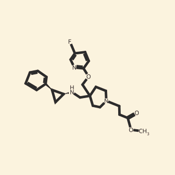 COC(=O)CCN1CCC(CN[C@@H]2C[C@H]2c2ccccc2)(COc2ccc(F)cn2)CC1